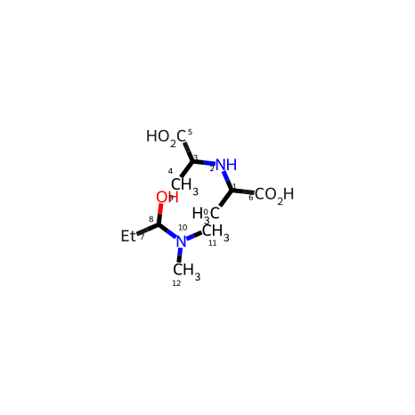 CC(NC(C)C(=O)O)C(=O)O.CCC(O)N(C)C